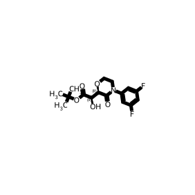 CC(C)(C)OC(=O)[C@H](O)[C@H]1OCCN(c2cc(F)cc(F)c2)C1=O